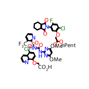 CCCCCOC(=O)COc1cc(N2C(=O)C3=C(CCCC3)C2=O)c(F)cc1Cl.COc1cc(OC)nc(NC(=O)NS(=O)(=O)c2ncccc2C(F)(F)F)n1.O=C(O)COc1ccc(Cl)c2cccnc12